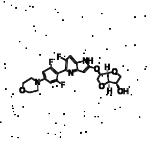 O[C@@H]1CO[C@H]2[C@@H]1OC[C@H]2Oc1cc2nc(-c3c(F)cc(N4CCOCC4)cc3F)c(F)cc2[nH]1